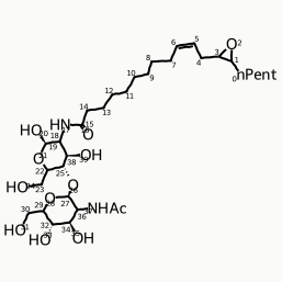 CCCCCC1OC1C/C=C\CCCCCCCCC(=O)NC1[C@H](O)OC(CO)[C@@H](O[C@@H]2OC(CO)[C@@H](O)[C@H](O)C2NC(C)=O)[C@@H]1O